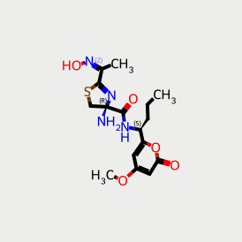 CCC[C@H](NC(=O)[C@]1(N)CSC(/C(C)=N\O)=N1)c1cc(OC)cc(=O)o1